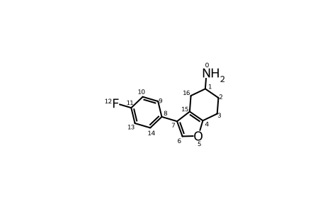 NC1CCc2occ(-c3ccc(F)cc3)c2C1